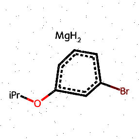 CC(C)Oc1cccc(Br)c1.[MgH2]